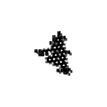 C/C(O)=C/C(=O)CCc1ccc2ccccc2c1-c1cc(-c2ccccc2-c2ccc(-c3cc(C(C)(C)C)ccn3)cc2)cc(-c2ccccc2-c2cnc(-c3ccc4c(c3)C(C)(C)CC4(C)C)cc2C)c1